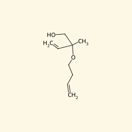 C=CCCOC(C)(C=C)CO